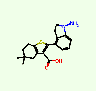 CC1(C)CCc2sc(-c3cccc4c3CCN4N)c(C(=O)O)c2C1